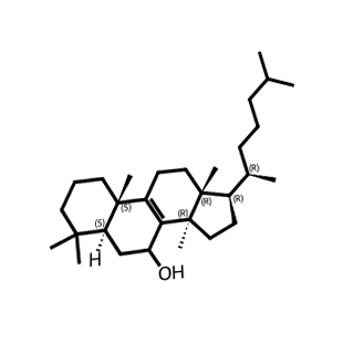 CC(C)CCC[C@@H](C)[C@H]1CC[C@@]2(C)C3=C(CC[C@]12C)[C@@]1(C)CCCC(C)(C)[C@@H]1CC3O